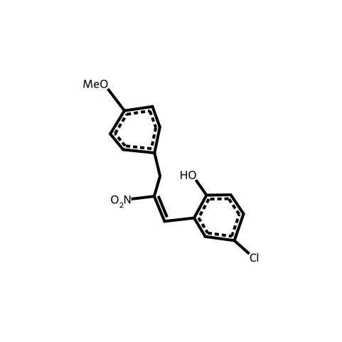 COc1ccc(C/C(=C\c2cc(Cl)ccc2O)[N+](=O)[O-])cc1